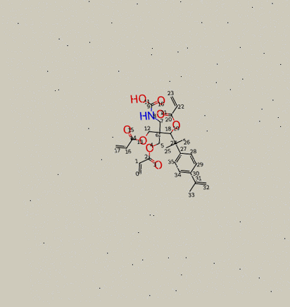 C=CC(=O)OCC(CNC(=O)O)(COC(=O)C=C)C(OC(=O)C=C)C(C)(C)c1ccc(C(=C)C)cc1